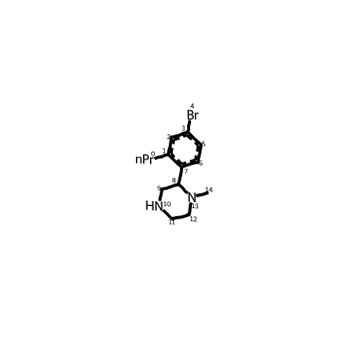 CCCc1cc(Br)ccc1C1CNCCN1C